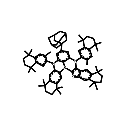 Cc1cc2c(cc1N1c3cc4c(cc3B3c5sc6cc7c(cc6c5N(c5cc6c(cc5C)C(C)(C)CCC6(C)C)c5cc(C68CC9CC(CC(C9)C6)C8)cc1c53)C(C)(C)CCC7(C)C)C(C)(C)CCC4(C)C)C(C)(C)CCC2(C)C